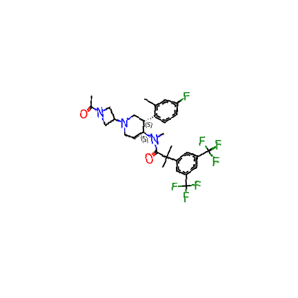 CC(=O)N1CC(N2CC[C@H](N(C)C(=O)C(C)(C)c3cc(C(F)(F)F)cc(C(F)(F)F)c3)[C@@H](c3ccc(F)cc3C)C2)C1